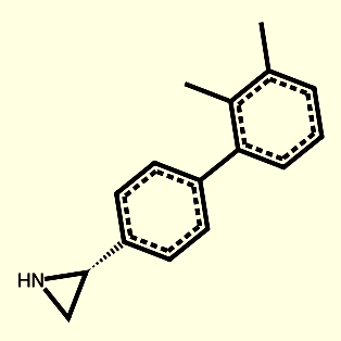 Cc1cccc(-c2ccc([C@@H]3CN3)cc2)c1C